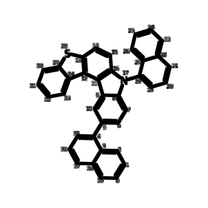 c1ccc2c(-c3ccc4c(c3)c3c5c(ccc3n4-c3cccc4ccccc34)sc3ccccc35)cccc2c1